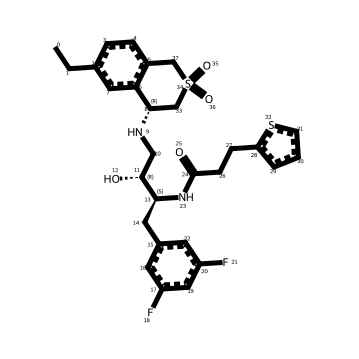 CCc1ccc2c(c1)[C@@H](NC[C@@H](O)[C@H](Cc1cc(F)cc(F)c1)NC(=O)CCc1cccs1)CS(=O)(=O)C2